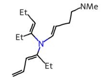 C=C/C=C(\CC)N(/C=C/CCNC)/C(=C/CC)CC